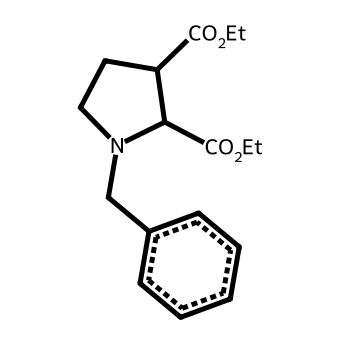 CCOC(=O)C1CCN(Cc2ccccc2)C1C(=O)OCC